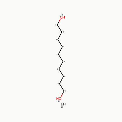 OCCCCCCCCCCO.[LiH]